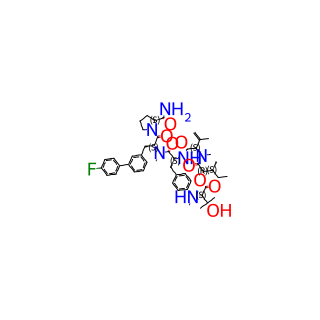 C=C(C)[C@@H](C(=O)N[C@@H](Cc1ccccc1)C(=O)N(C)[C@@H](Cc1cccc(-c2ccc(F)cc2)c1)C(=O)N1CCC[C@H]1C(N)=O)N(C)C(=O)[C@H](OC(=O)[C@@H](NC)C(C)(C)O)[C@@H](C)CC